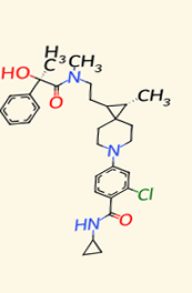 C[C@H]1C(CCN(C)C(=O)[C@](C)(O)c2ccccc2)C12CCN(c1ccc(C(=O)NC3CC3)c(Cl)c1)CC2